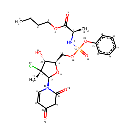 CCCCOC(=O)[C@@H](C)N[P@](=O)(OC[C@H]1O[C@@H](N2C=CC(=O)CC2=O)[C@](C)(Cl)[C@@H]1O)Oc1ccccc1